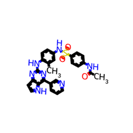 CC(=O)Nc1ccc(S(=O)(=O)Nc2ccc(Nc3nc(-c4cccnc4)c4[nH]ccc4n3)c(C)c2)cc1